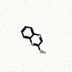 CC(C)(C)c1cnc2ccccc2n1